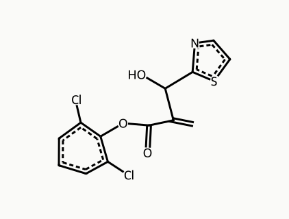 C=C(C(=O)Oc1c(Cl)cccc1Cl)C(O)c1nccs1